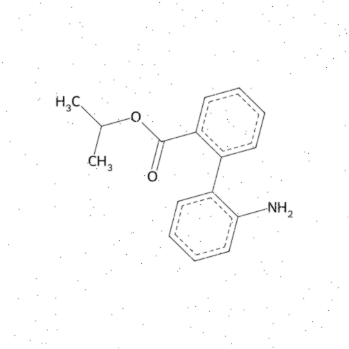 CC(C)OC(=O)c1ccccc1-c1ccccc1N